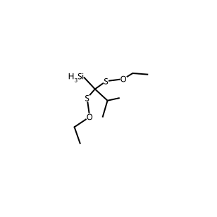 CCOSC([SiH3])(SOCC)C(C)C